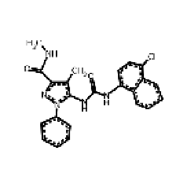 CNC(=O)c1nn(-c2ccccc2)c(NC(=O)Nc2ccc(Cl)c3ccccc23)c1C